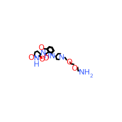 NCCOCCOCCN1CCC(Nc2cccc3c2C(=O)N(C2CCC(=O)NC2=O)C3=O)CC1